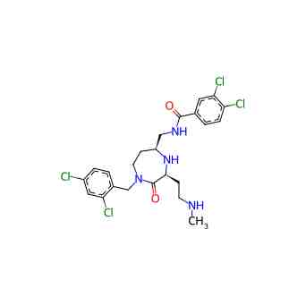 CNCC[C@@H]1N[C@H](CNC(=O)c2ccc(Cl)c(Cl)c2)CCN(Cc2ccc(Cl)cc2Cl)C1=O